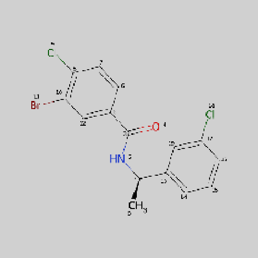 C[C@@H](NC(=O)c1ccc(Cl)c(Br)c1)c1cccc(Cl)c1